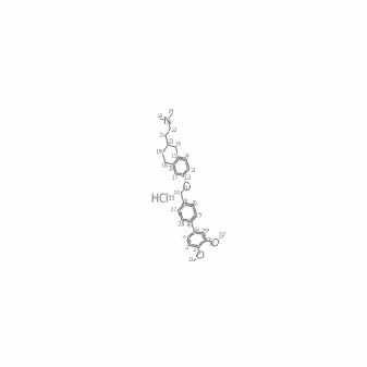 COc1ccc(-c2ccc(COc3ccc4c(c3)CCC(CCN(C)C)C4)cc2)cc1OC.Cl